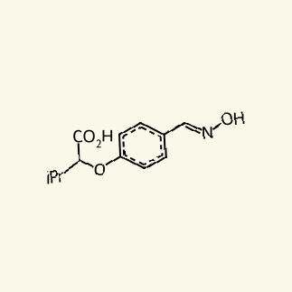 CC(C)C(Oc1ccc(C=NO)cc1)C(=O)O